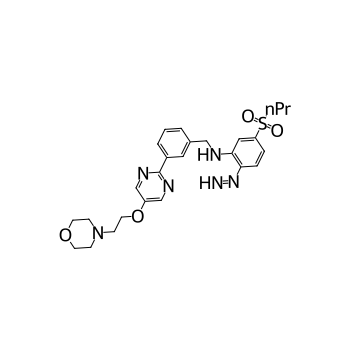 CCCS(=O)(=O)c1ccc(N=N)c(NCc2cccc(-c3ncc(OCCN4CCOCC4)cn3)c2)c1